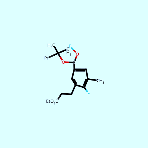 CCOC(=O)CCc1cc(B(OF)OC(C)(C)C(C)C)cc(C)c1F